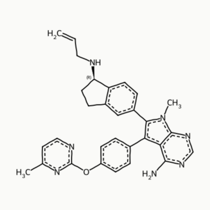 C=CCN[C@@H]1CCc2cc(-c3c(-c4ccc(Oc5nccc(C)n5)cc4)c4c(N)ncnc4n3C)ccc21